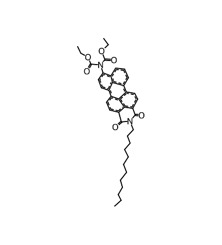 CCCCCCCCCCCCN1C(=O)c2ccc3c4cccc5c(N(C(=O)OCC)C(=O)OCC)ccc(c6ccc(c2c36)C1=O)c54